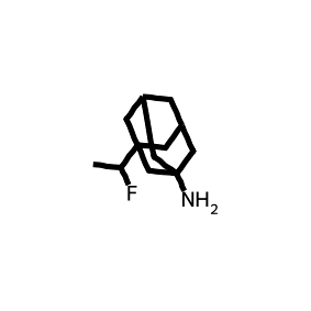 CC(F)C12CC3CC(CC(N)(C3)C1)C2